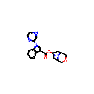 O=C(OC1CC2COCC(C1)N2)c1cn(-c2cnccn2)c2ccccc12